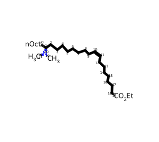 CCCCCCCCC(CCCCCCCC/C=C\CCCCCCCC(=O)OCC)N(C)C